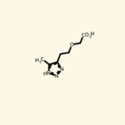 Cc1[nH]nnc1CCOCC(=O)O